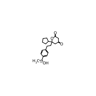 C[C@H](O)c1ccc(CCC2(C3CCCC3)CC(=O)CC(=O)O2)cc1